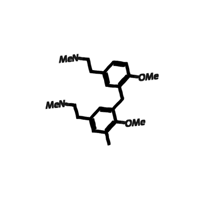 CNCCc1ccc(OC)c(Cc2cc(CCNC)cc(C)c2OC)c1